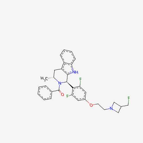 C[C@@H]1Cc2c([nH]c3ccccc23)[C@@H](c2c(F)cc(OCCN3CC(CF)C3)cc2F)N1C(=O)c1ccccc1